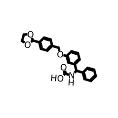 O=C(O)NC(c1ccccc1)c1cccc(OCc2ccc(C3OCCO3)cc2)c1